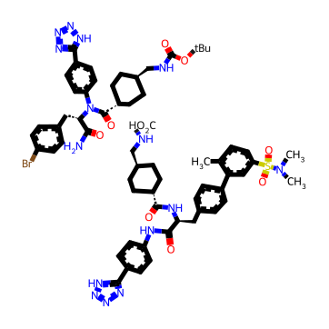 CC(C)(C)OC(=O)NC[C@H]1CC[C@H](C(=O)N(c2ccc(-c3nnn[nH]3)cc2)[C@@H](Cc2ccc(Br)cc2)C(N)=O)CC1.Cc1ccc(S(=O)(=O)N(C)C)cc1-c1ccc(C[C@H](NC(=O)[C@H]2CC[C@H](CNC(=O)O)CC2)C(=O)Nc2ccc(-c3nnn[nH]3)cc2)cc1